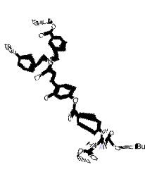 CC(C)(C)OC(=O)/N=C(/NC(=O)OC(C)(C)C)Nc1ccc(C(=O)Oc2ccc(CCC(=O)N(Cc3cccc(C(=O)OC(C)(C)C)c3)Cc3cccc(C(C)(C)C)c3)c(Cl)c2)cc1